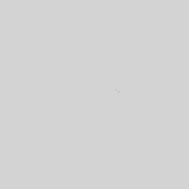 Cc1nc(C(F)(F)F)c(C(C)(C)C)s1